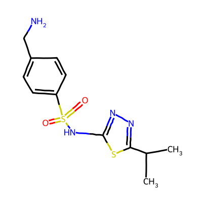 CC(C)c1nnc(NS(=O)(=O)c2ccc(CN)cc2)s1